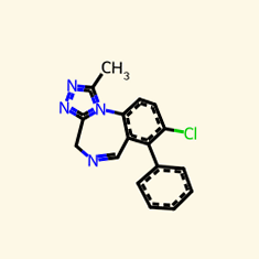 Cc1nnc2n1-c1ccc(Cl)c(-c3ccccc3)c1C=NC2